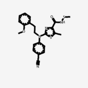 COc1ccccc1CCN(c1ccc(C#N)cc1)c1nc(C(=O)NSC)c(C)s1